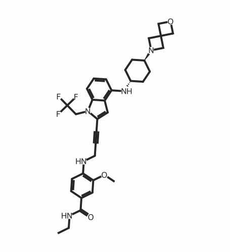 CCNC(=O)c1ccc(NCC#Cc2cc3c(N[C@H]4CC[C@H](N5CC6(COC6)C5)CC4)cccc3n2CC(F)(F)F)c(OC)c1